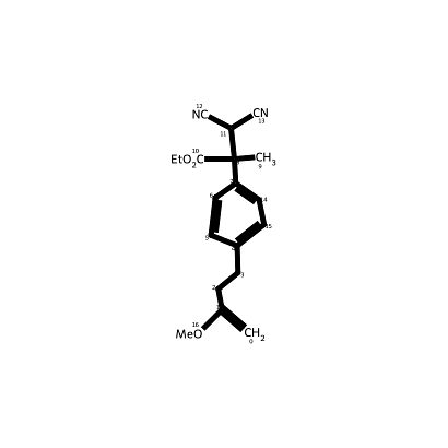 C=C(CCc1ccc(C(C)(C(=O)OCC)C(C#N)C#N)cc1)OC